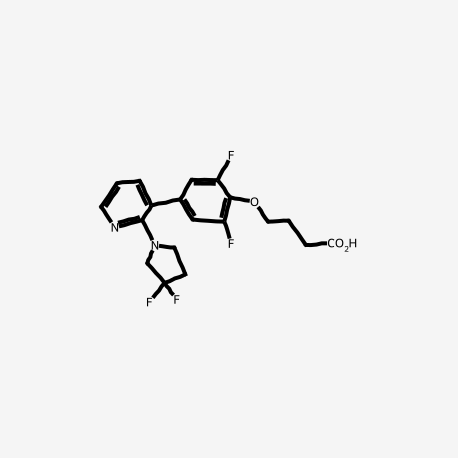 O=C(O)CCCOc1c(F)cc(-c2cccnc2N2CCC(F)(F)C2)cc1F